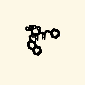 O=C(NCc1ccccc1)N[C@@H](Cc1ccc2ccccc2c1)C(=O)O